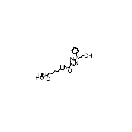 O=C(CCCCCCNC(=O)c1cnc(N(CCO)c2ccccc2)nc1)NO